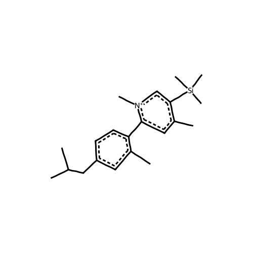 Cc1cc(CC(C)C)ccc1-c1cc(C)c([Si](C)(C)C)c[n+]1C